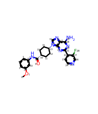 COc1cccc(NC(=O)[C@H]2CC[C@@H](n3cnc4c(N)nc(-c5ccncc5F)nc43)CC2)c1